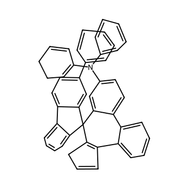 C1=CC(N(c2ccccc2)c2ccc3c(c2)C2(C4=C(C=CC4)c4ccccc4-3)c3ccccc3-c3ccc(-c4ccccc4)cc32)=CCC1